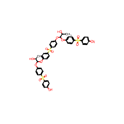 CC(O)C(Oc1ccc(S(=O)(=O)c2ccc(O)cc2)cc1)Oc1ccc(S(=O)(=O)c2ccc(OC(Oc3ccc(S(=O)(=O)c4ccc(O)cc4)cc3)C(C)O)cc2)cc1